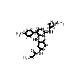 C=CC(=O)Nc1cc(Nc2nc(Nc3cnn(C)c3)ncc2-c2ccc(C(F)(F)F)cc2)c(F)cn1